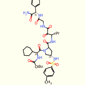 CCCC(NC(=O)C1C[C@H](NS(=O)(=O)c2ccc(C)cc2)CN1C(=O)[C@@H](NC(=O)OCC(C)C)C1CCCCC1)C(=O)C(=O)NCC(=O)N[C@H](C(N)=O)c1ccccc1